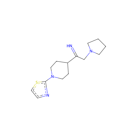 N=C(CN1CCCC1)C1CCN(c2nccs2)CC1